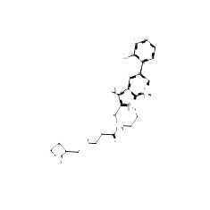 O=C(CCOCC1CCN1)N1CCn2c(c(F)c3cc(-c4ccccc4F)cnc32)C1